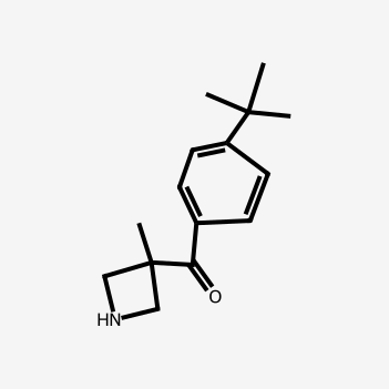 CC1(C(=O)c2ccc(C(C)(C)C)cc2)CNC1